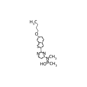 CCCCOc1ccc2cc(-c3nccc(N(C)B(C)O)n3)sc2c1